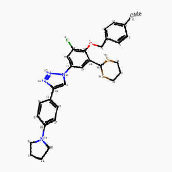 COc1ccc(COc2c(F)cc(-n3cc(-c4ccc(N5CCCC5)cc4)nn3)cc2C2SCCCS2)cc1